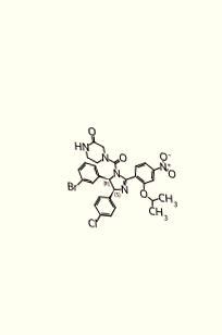 CC(C)Oc1cc([N+](=O)[O-])ccc1C1=N[C@@H](c2ccc(Cl)cc2)[C@@H](c2cccc(Br)c2)N1C(=O)N1CCNC(=O)C1